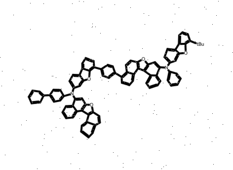 CC(C)(C)c1cccc2c1oc1cc(N(c3ccccc3)c3cc4oc5ccc6c(-c7ccc(-c8cccc9c8oc8cc(N(c%10ccc(-c%11ccccc%11)cc%10)c%10cc%11oc%12ccc%13ccccc%13c%12c%11c%11ccccc%10%11)ccc89)cc7)cccc6c5c4c4ccccc34)ccc12